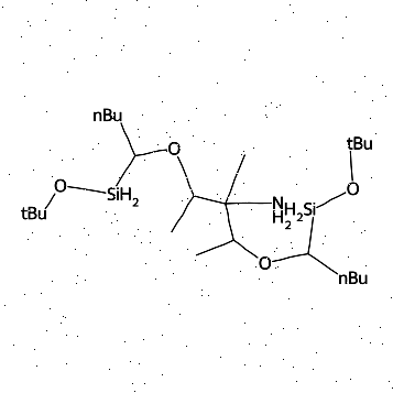 CCCCC(OC(C)C(C)(N)C(C)OC(CCCC)[SiH2]OC(C)(C)C)[SiH2]OC(C)(C)C